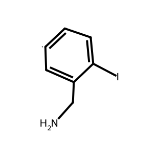 NCc1c[c]ccc1I